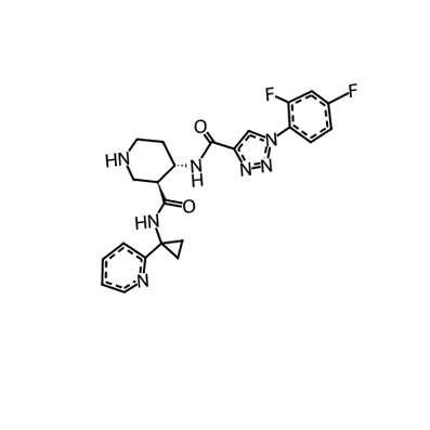 O=C(N[C@H]1CCNC[C@@H]1C(=O)NC1(c2ccccn2)CC1)c1cn(-c2ccc(F)cc2F)nn1